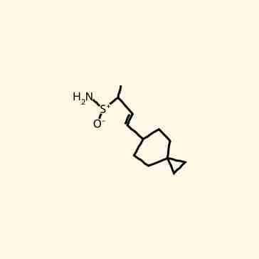 CC(C=CC1CCC2(CC1)CC2)[S+](N)[O-]